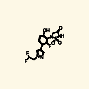 O=C1CN(c2c(O)ccc(-c3cnn(CC(F)F)c3)c2F)S(=O)(=O)N1